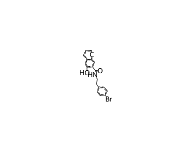 O=C(NCCc1ccc(Br)cc1)c1cc2ccccc2cc1O